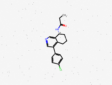 CCC(=O)N[C@@H]1CCCc2c(-c3ccc(Cl)cc3)cncc21